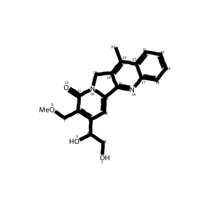 COCc1c(C(O)CO)cc2n(c1=O)Cc1c-2nc2ccccc2c1C